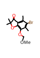 COCOc1c(C)c(Br)c(C)c2c1OC(C)(C)C2=O